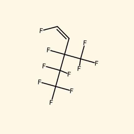 F/C=C\C(F)(C(F)(F)F)C(F)(F)C(F)(F)F